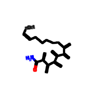 C=C(CCCCC/C=C\CCCCCCCC)C(=C)C(=C)C(=C)C(=C)C(=C)C(N)=O